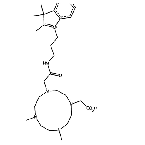 CC1=[N+](CCCNC(=O)CN2CCN(C)CCN(C)CCN(CC(=O)O)CC2)c2ccccc2C1(C)C